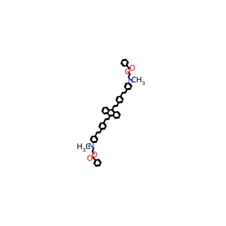 CN(CCOC(=O)c1ccccc1)c1ccc(C=Cc2ccc(C=Cc3c4ccccc4c(C=Cc4ccc(C=Cc5ccc(N(C)CCOC(=O)c6ccccc6)cc5)cc4)c4ccccc34)cc2)cc1